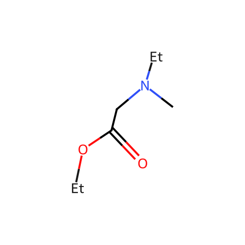 CCOC(=O)CN(C)CC